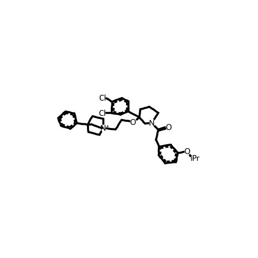 CC(C)Oc1cccc(CC(=O)N2CCCC(OCC[N+]34CCC(c5ccccc5)(CC3)CC4)(c3ccc(Cl)c(Cl)c3)C2)c1